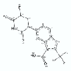 CC(C)(C)c1cc2ccc(N3CC(F)C(=O)NC3=O)cc2n1C(=O)O